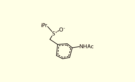 CC(=O)Nc1cccc(C[S+]([O-])C(C)C)c1